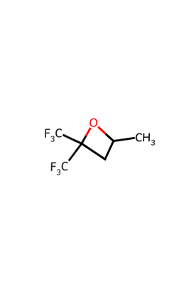 CC1CC(C(F)(F)F)(C(F)(F)F)O1